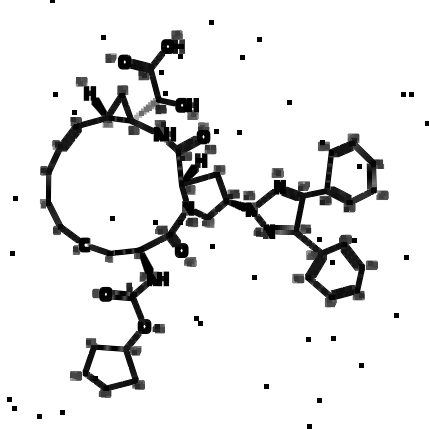 O=C(N[C@H]1CCCCC/C=C\[C@@H]2C[C@@]2(C(O)C(=O)O)NC(=O)[C@@H]2C[C@@H](n3nc(-c4ccccc4)c(-c4ccccc4)n3)CN2C1=O)OC1CCCC1